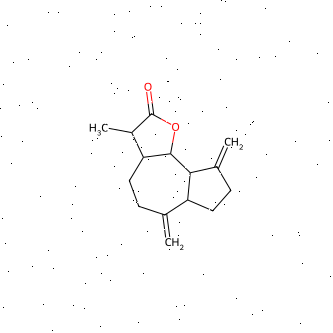 C=C1CCC2C(C)C(=O)OC2C2C(=C)CCC12